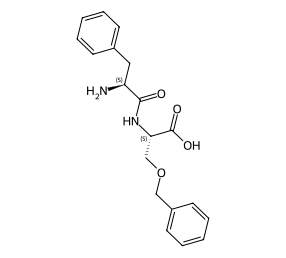 N[C@@H](Cc1ccccc1)C(=O)N[C@@H](COCc1ccccc1)C(=O)O